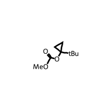 COC(=O)OC1(C(C)(C)C)CC1